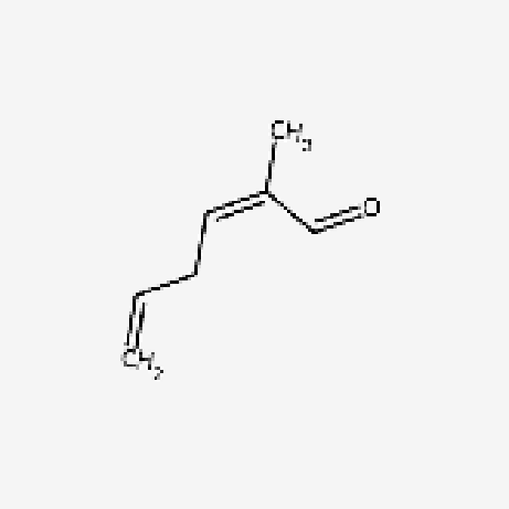 C=CCC=C(C)C=O